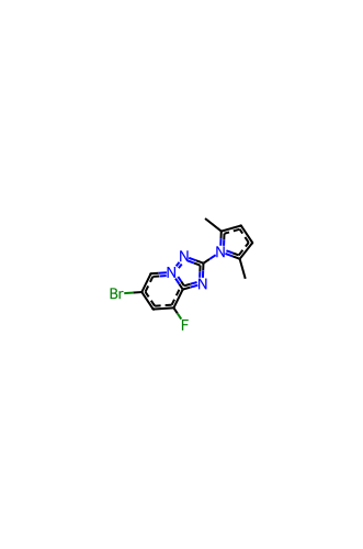 Cc1ccc(C)n1-c1nc2c(F)cc(Br)cn2n1